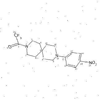 O=C(N1CCC2(CC1)CCN(c1ccc([N+](=O)[O-])cc1)CC2)C(F)(F)F